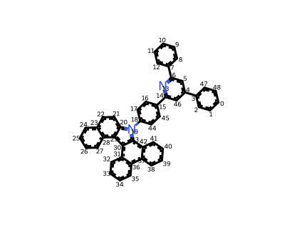 c1ccc(-c2cc(-c3ccccc3)nc(-c3ccc(-n4c5ccc6ccccc6c5c5c6ccccc6c6ccccc6c54)cc3)c2)cc1